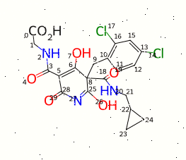 O=C(O)CNC(=O)C1=C(O)C(Cc2ccc(Cl)cc2Cl)(C(=O)NCC2CC2)C(O)=NC1=O